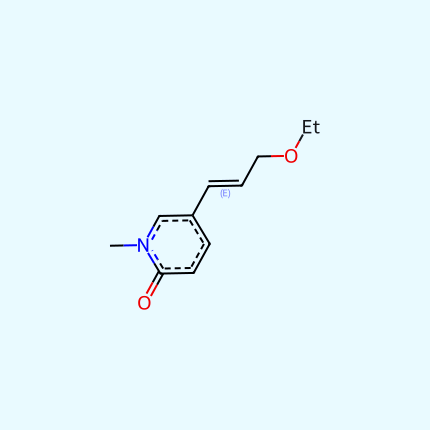 CCOC/C=C/c1ccc(=O)n(C)c1